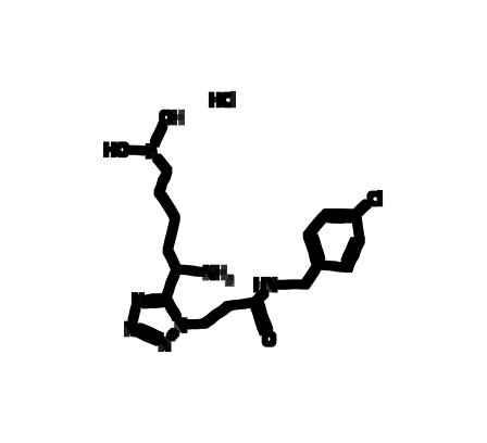 Cl.NC(CCCCB(O)O)c1nnnn1CCC(=O)NCc1ccc(Cl)cc1